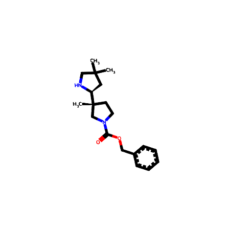 CC1(C)CN[C@H]([C@]2(C)CCN(C(=O)OCc3ccccc3)C2)C1